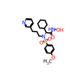 COc1ccc(S(=O)(=O)N(CCCc2cccnc2)[C@@H](C(=O)NO)C2CCCCC2)cc1